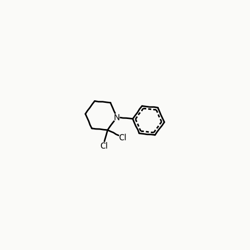 ClC1(Cl)CCCCN1c1ccccc1